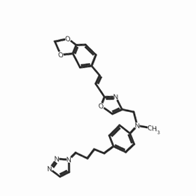 CN(Cc1coc(C=Cc2ccc3c(c2)OCO3)n1)c1ccc(CCCCn2ccnn2)cc1